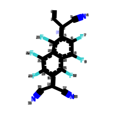 C=C/C(C#N)=c1/c(F)c(F)c2c(F)c(=C(C#N)C#N)c(F)c(F)c2c1F